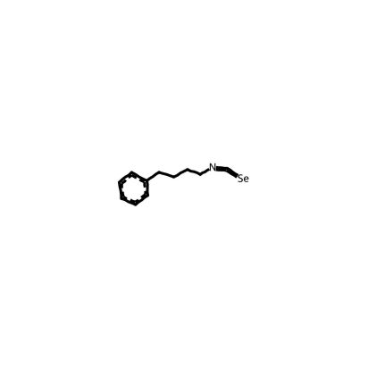 [Se]=C=NCCCCc1ccccc1